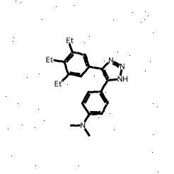 CCc1cc(-c2nn[nH]c2-c2ccc(N(C)C)cc2)cc(CC)c1CC